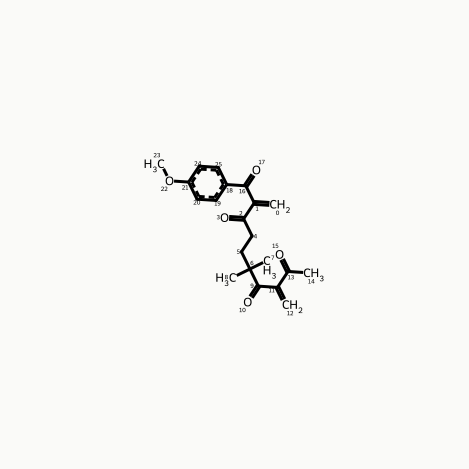 C=C(C(=O)CCC(C)(C)C(=O)C(=C)C(C)=O)C(=O)c1ccc(OC)cc1